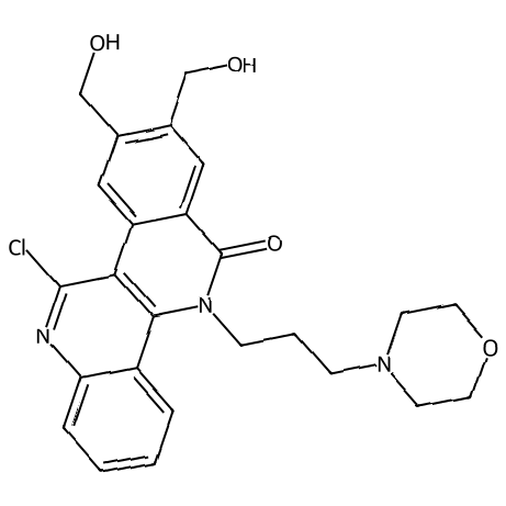 O=c1c2cc(CO)c(CO)cc2c2c(Cl)nc3ccccc3c2n1CCCN1CCOCC1